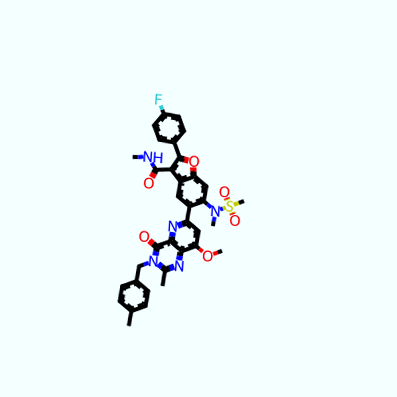 CNC(=O)c1c(-c2ccc(F)cc2)oc2cc(N(C)S(C)(=O)=O)c(-c3cc(OC)c4nc(C)n(Cc5ccc(C)cc5)c(=O)c4n3)cc12